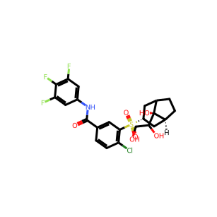 O=C(Nc1cc(F)c(F)c(F)c1)c1ccc(Cl)c(S(=O)(=O)[C@@H]2CC3CC[C@@H](C2)[C@]3(O)C(O)CO)c1